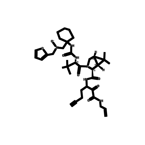 C#CCCC(NC(=O)[C@@H]1[C@@H]2[C@H](CN1C(=O)[C@@H](NC(=O)NC1(C[S+]([O-])Cc3ccco3)CCCCC1)C(C)(C)C)C2(C)C)C(=O)C(=O)NCC=C